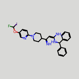 N=C(/C=C(/N)NC(c1ccccc1)c1ccccc1)C1CCN(c2ccc(OC(F)I)cn2)CC1